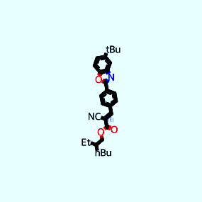 CCCCC(CC)COC(=O)/C(C#N)=C/c1ccc(-c2nc3cc(C(C)(C)C)ccc3o2)cc1